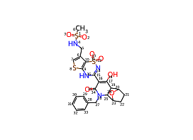 CS(=O)(=O)NCc1csc2c1S(=O)(=O)N=C(C1=C(O)C3C4CCC(O4)C3N(Cc3ccccc3)C1=O)N2